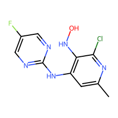 Cc1cc(Nc2ncc(F)cn2)c(NO)c(Cl)n1